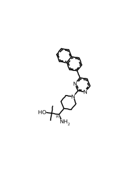 CC(C)(O)[C@H](N)C1CCN(c2nccc(-c3ccc4ccccc4c3)n2)CC1